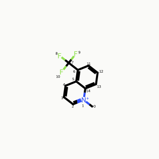 C[n+]1cccc2c(C(F)(F)F)cccc21